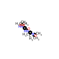 Cc1c(NC(=O)c2ccc(NS(=O)(=O)C(C)(C)C)cc2)ccc(N2CC(C)OC(C)C2)c1C